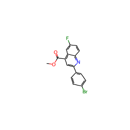 COC(=O)c1cc(-c2ccc(Br)cc2)nc2ccc(F)cc12